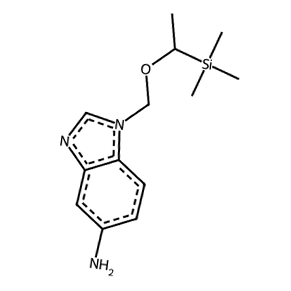 CC(OCn1cnc2cc(N)ccc21)[Si](C)(C)C